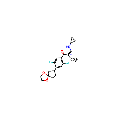 O=C(O)/C(=C/NC1CC1)C(=O)c1cc(F)c(C2CCC3(C2)OCCO3)cc1F